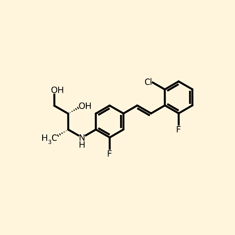 C[C@@H](Nc1ccc(/C=C/c2c(F)cccc2Cl)cc1F)[C@@H](O)CO